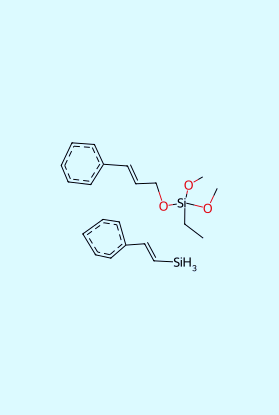 CC[Si](OC)(OC)OCC=Cc1ccccc1.[SiH3]C=Cc1ccccc1